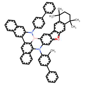 Cc1cc(-c2ccccc2)ccc1N1c2cc3oc4cc5c(cc4c3cc2B2c3c(cc4ccccc4c31)-c1cc3ccccc3cc1N2c1ccc(-c2ccccc2)cc1)C(C)(C)CCC5(C)C